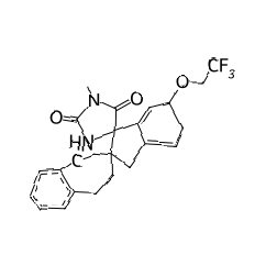 CN1C(=O)NC2(C1=O)C1=CC(OCC(F)(F)F)CC=C1CC21CCc2ccccc2CC1